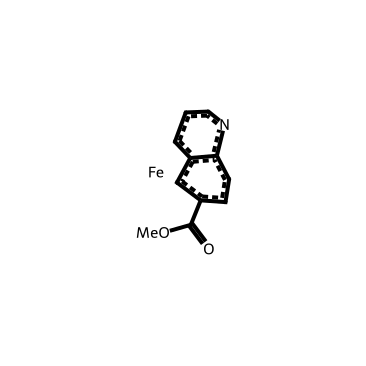 COC(=O)c1ccc2ncccc2c1.[Fe]